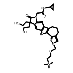 C[Si](C)(C)CCOCn1cc2c(n1)-c1[nH]c3cc4c(cc3c1CCC2)N(CC(=O)NC1CC1)C(=O)C4(CCO)CCO